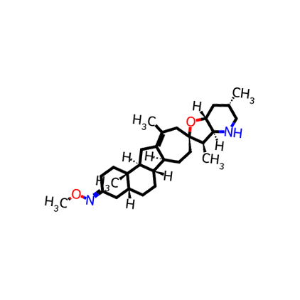 CON=C1CC[C@@]2(C)[C@H](CC[C@H]3[C@@H]4CC[C@@]5(CC(C)=C4C[C@@H]32)O[C@@H]2C[C@H](C)CN[C@H]2[C@H]5C)C1